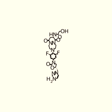 C=NN(/C=C\N)C[C@H]1CN(c2cc(F)c(N3CCN4C(=O)C[C@H](NC(=O)CO)C(=O)N4CC3)c(F)c2)C(=O)O1